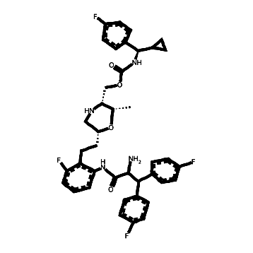 C[C@@H]1O[C@H](CCc2c(F)cccc2NC(=O)C(N)C(c2ccc(F)cc2)c2ccc(F)cc2)CN[C@@H]1COC(=O)N[C@@H](c1ccc(F)cc1)C1CC1